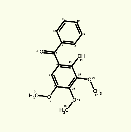 COc1cc(C(=O)c2ccccc2)c(O)c(OC)c1OC